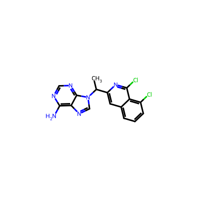 CC(c1cc2cccc(Cl)c2c(Cl)n1)n1cnc2c(N)ncnc21